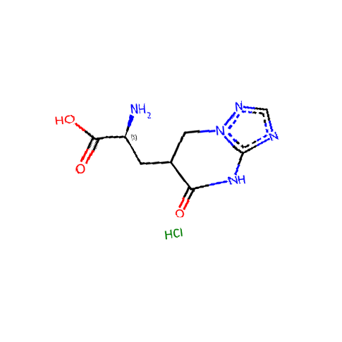 Cl.N[C@@H](CC1Cn2ncnc2NC1=O)C(=O)O